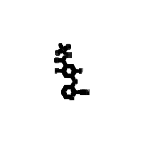 CS(=O)(=O)NC(=O)c1cc(F)c(Oc2cccnc2C#N)cc1F